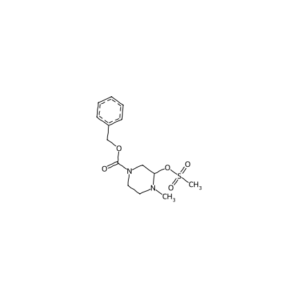 CN1CCN(C(=O)OCc2ccccc2)CC1OS(C)(=O)=O